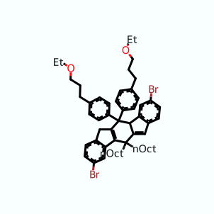 CCCCCCCCC1(CCCCCCCC)C2=Cc3ccc(Br)cc3C2C(c2ccc(CCCOCC)cc2)(c2ccc(CCCOCC)cc2)C2=C1c1cc(Br)ccc1C2